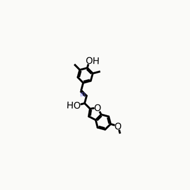 COc1ccc2cc(C(O)/C=C/c3cc(C)c(O)c(C)c3)oc2c1